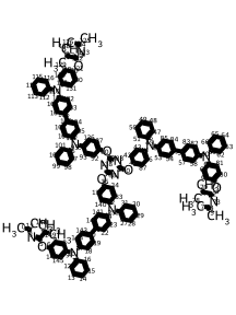 CC(C)/N=C(/Oc1ccc(N(c2ccccc2)c2ccc(-c3ccc(N(c4ccccc4)c4ccc(Oc5nc(Oc6ccc(N(c7ccccc7)c7ccc(-c8ccc(N(c9ccccc9)c9ccc(O/C(=N/C(C)C)C(C)C)cc9)cc8)cc7)cc6)nc(Oc6ccc(N(c7ccccc7)c7ccc(-c8ccc(N(c9ccccc9)c9ccc(O/C(=N/C(C)C)C(C)C)cc9)cc8)cc7)cc6)n5)cc4)cc3)cc2)cc1)C(C)C